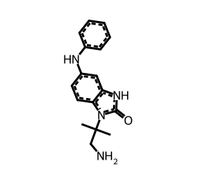 CC(C)(CN)n1c(=O)[nH]c2cc(Nc3ccccc3)ccc21